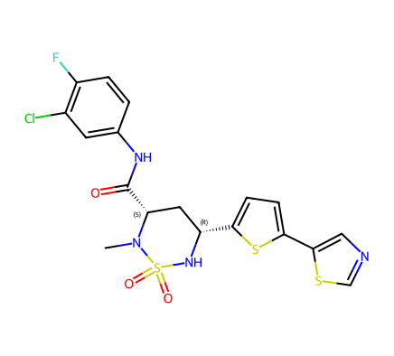 CN1[C@H](C(=O)Nc2ccc(F)c(Cl)c2)C[C@H](c2ccc(-c3cncs3)s2)NS1(=O)=O